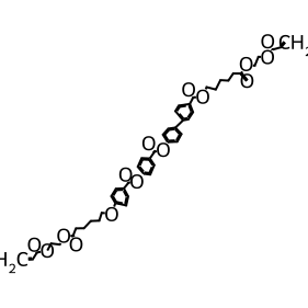 C=CC(=O)OCCOC(=O)CCCCCOC(=O)c1ccc(-c2ccc(OC(=O)c3ccc(OC(=O)c4ccc(OCCCCCC(=O)OCCOC(=O)C=C)cc4)cc3)cc2)cc1